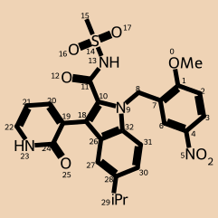 COc1ccc([N+](=O)[O-])cc1Cn1c(C(=O)NS(C)(=O)=O)c(-c2ccc[nH]c2=O)c2cc(C(C)C)ccc21